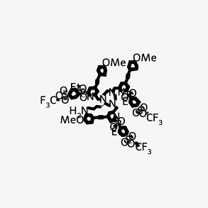 CCOP(=O)(c1ccc(S(=O)(=O)OCC(F)(F)F)cc1)c1cc(C#Cc2ccc(OC)cc2)cc(CN2CCN(Cc3cc(C#Cc4ccc(OC)cc4)cc(P(=O)(OCC)c4ccc(S(=O)(=O)OCC(F)(F)F)cc4)n3)C[C@H](CCCCN)N(Cc3cc(C#Cc4ccc(OC)cc4)cc(P(=O)(OCC)c4ccc(S(=O)(=O)OCC(F)(F)F)cc4)n3)CC2)n1